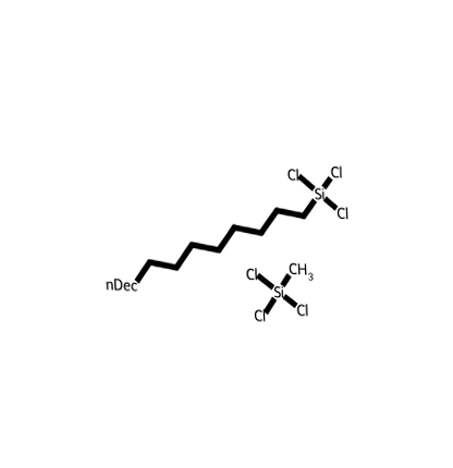 CCCCCCCCCCCCCCCCCC[Si](Cl)(Cl)Cl.C[Si](Cl)(Cl)Cl